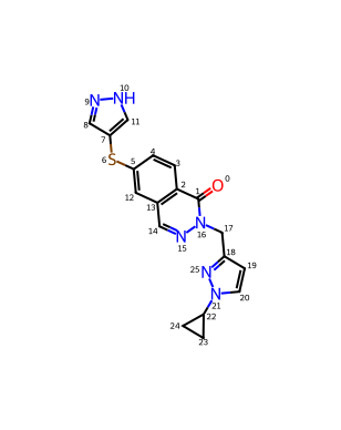 O=c1c2ccc(Sc3cn[nH]c3)cc2cnn1Cc1ccn(C2CC2)n1